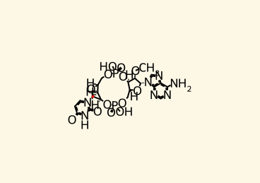 CO[C@@H]1[C@@H]2OP(=O)(O)OC[C@H]3O[C@@H](n4ccc(=O)[nH]c4=O)[C@H](OP(=O)(O)OC[C@H]2O[C@H]1n1cnc2c(N)ncnc21)[C@@H]3F